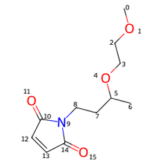 COCCOC(C)CCN1C(=O)C=CC1=O